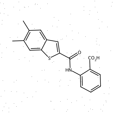 Cc1cc2cc(C(=O)Nc3ccccc3C(=O)O)sc2cc1C